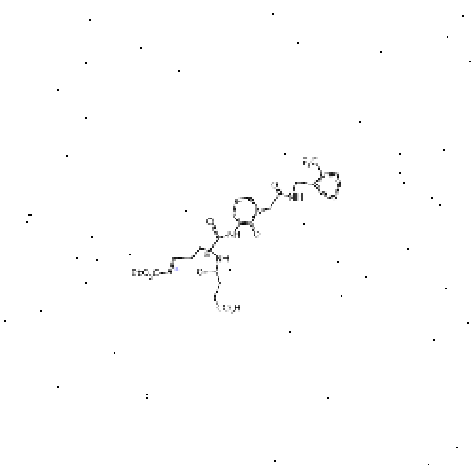 CCOC(=O)/C=C/CC[C@H](NC(=O)CCC(=O)O)C(=O)Nc1cccn(CC(=O)NCc2ccccc2C(F)(F)F)c1=O